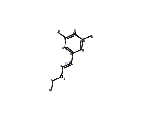 CCO/C=C/c1cc(C)nc(C)c1